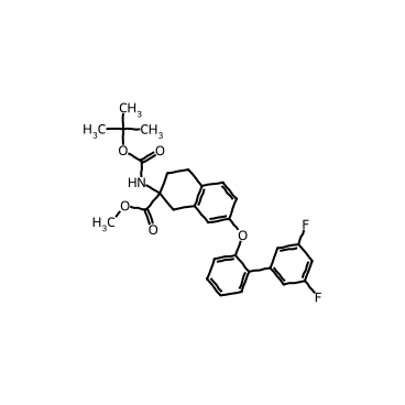 COC(=O)C1(NC(=O)OC(C)(C)C)CCc2ccc(Oc3ccccc3-c3cc(F)cc(F)c3)cc2C1